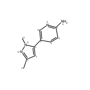 Cc1cc(-c2ccc(N)nc2)n(C)n1